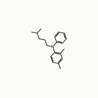 Cc1ccc(N(CCCC(C)C)c2ccccc2)c(C)c1